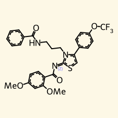 COc1ccc(C(=O)/N=c2\scc(-c3ccc(OC(F)(F)F)cc3)n2CCCNC(=O)c2ccccc2)c(OC)c1